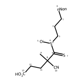 CCCCCCCCCCCC[S+]([O-])C(=S)C(C)(C#N)CCC(=O)O